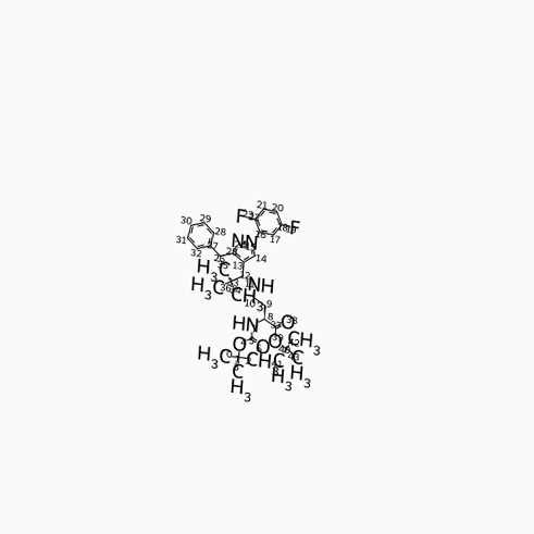 CC(C)(C)OC(=O)N[C@@H](CCN[C@@H](c1cn(-c2cc(F)ccc2F)nc1Cc1ccccc1)C(C)(C)C)C(=O)OC(C)(C)C